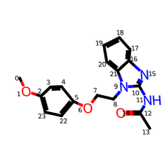 COc1ccc(OCCn2c(NC(C)=O)nc3ccccc32)cc1